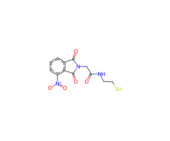 O=C(CN1C(=O)c2cccc([N+](=O)[O-])c2C1=O)NCCS